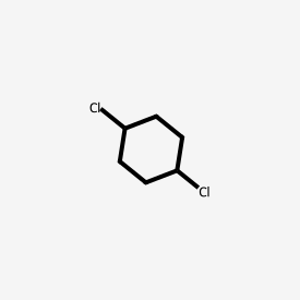 ClC1CCC(Cl)CC1